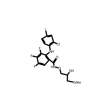 COCC(O)CONC(=O)c1cc(F)c(F)c(F)c1Nc1ccc(I)cc1Cl